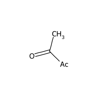 C[C](=O)[Ac]